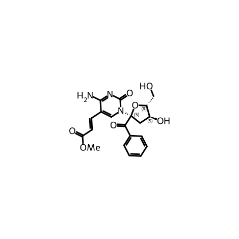 COC(=O)C=Cc1cn([C@@]2(C(=O)c3ccccc3)C[C@H](O)[C@@H](CO)O2)c(=O)nc1N